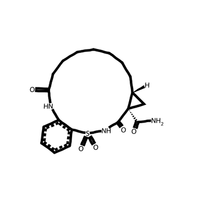 NC(=O)[C@@]12C[C@H]1CCCCCCCC(=O)Nc1ccccc1S(=O)(=O)NC2=O